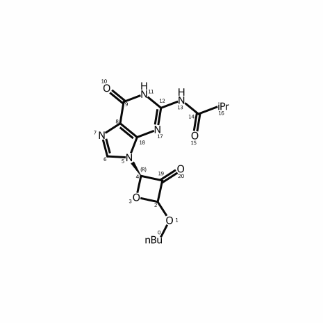 CCCCOC1O[C@@H](n2cnc3c(=O)[nH]c(NC(=O)C(C)C)nc32)C1=O